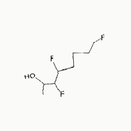 CC(O)C(F)C(F)CCCCF